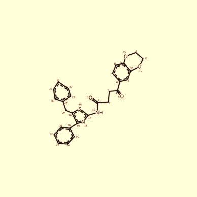 O=C(CCC(=O)c1ccc2c(c1)OCCO2)Nc1nc(-c2ccccc2)c(Cc2ccccc2)s1